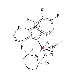 Cn1nc2c(c1-c1cc(F)c(F)c(F)c1)C[C@@H]1CCC[C@H]2N1C(=O)c1cn(C)c2ncccc12